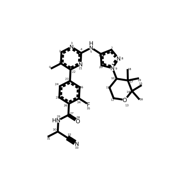 Cc1cnc(Nc2cnn(C3CCOC(C)(C)C3(C)C)c2)nc1-c1ccc(C(=O)NC(C)C#N)c(F)c1